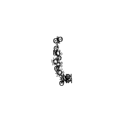 CS(=O)(=O)CCCOc1ccc(Oc2cccc3c2CC[C@H]3Oc2ccc(C3CC(=O)NS(=O)(=O)N3)cc2)cn1